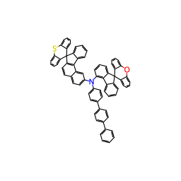 c1ccc(-c2ccc(-c3ccc(N(c4ccc5ccc6c(c5c4)-c4ccccc4C64c5ccccc5Sc5ccccc54)c4cccc5c4-c4ccccc4C54c5ccccc5Oc5ccccc54)cc3)cc2)cc1